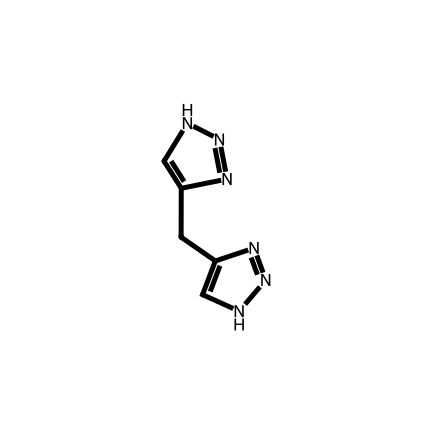 c1[nH]nnc1Cc1c[nH]nn1